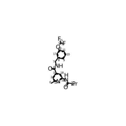 Cc1cc(C(=O)NCc2cccc(OC(F)F)c2)cc(NC(=O)C(C)C)n1